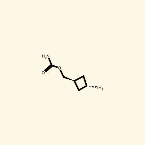 NC(=O)OC[C@H]1C[C@H](N)C1